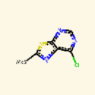 CSc1nc2c(Cl)ncnc2s1